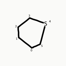 [CH]1CCCSC1